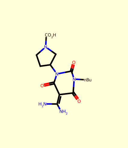 CCCCN1C(=O)C(=C(N)N)C(=O)N(C2CCN(C(=O)O)C2)C1=O